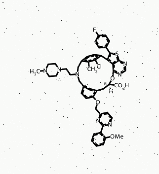 COc1ccccc1-c1nccc(COc2ccc3cc2C[C@H](C(=O)O)Oc2ncnc4sc(-c5ccc(F)cc5)c(c24)-c2ccc(c(C)c2Cl)CN(CCN2CCN(C)CC2)C3)n1